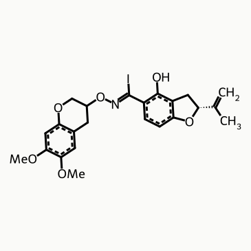 C=C(C)[C@H]1Cc2c(ccc(/C(I)=N/OC3COc4cc(OC)c(OC)cc4C3)c2O)O1